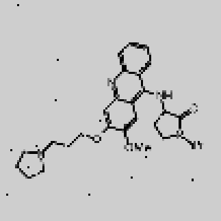 COc1cc2c(NC3CCN(C(C)C)C3=O)c3ccccc3nc2cc1OCCCN1CCCC1